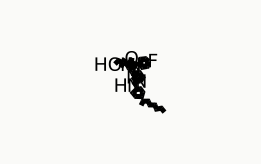 CCCCCCC(C)[C@H]1CC[C@H](Nc2nccc(-c3cn(C(C)(C)CO)c(=O)n3-c3ccc(F)cc3)n2)CC1